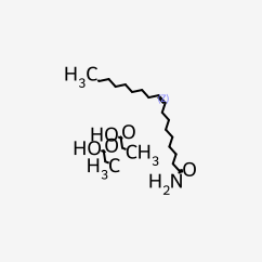 CCC(=O)O.CCC(=O)O.CCCCCCCC/C=C\CCCCCCCC(N)=O